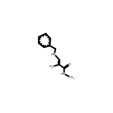 CNC(=O)/C(N)=C/NCc1ccccc1